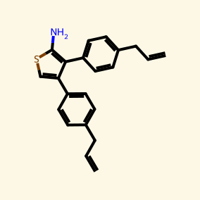 C=CCc1ccc(-c2csc(N)c2-c2ccc(CC=C)cc2)cc1